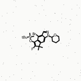 CC1(C)C(F)=C(O[Si](C)(C)C(C)(C)C)c2c1cc1c(cnn1C1CCCCO1)c2Br